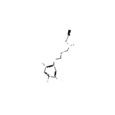 C#CCN(C)CCCOc1cc(C#N)c(Cl)cc1Cl